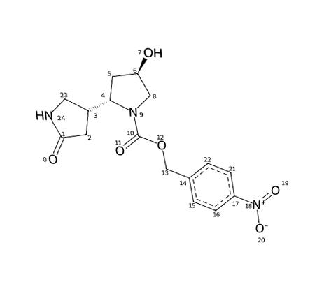 O=C1CC([C@@H]2C[C@@H](O)CN2C(=O)OCc2ccc([N+](=O)[O-])cc2)CN1